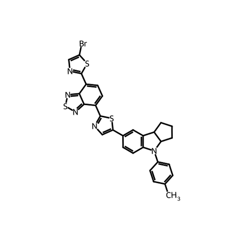 Cc1ccc(N2c3ccc(-c4cnc(-c5ccc(-c6ncc(Br)s6)c6nsnc56)s4)cc3C3CCCC32)cc1